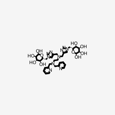 O[C@@H]1[C@@H](O)[C@@H](O)O[C@H](Cn2cc(CN(CCN(Cc3ccccn3)Cc3ccccn3)Cc3cn(C[C@H]4O[C@H](O)[C@H](O)[C@@H](O)[C@H]4O)nn3)nn2)[C@@H]1O